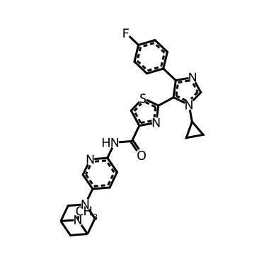 CN1C2CC1CN(c1ccc(NC(=O)c3csc(-c4c(-c5ccc(F)cc5)ncn4C4CC4)n3)nc1)C2